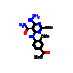 COC(=O)c1ccc(Nc2nc(SC)nc(NN)c2C(N)=O)c(OC)c1